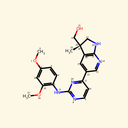 COc1ccc(Nc2nccc(-c3cnc4c(c3)[C@](C)(CO)CN4)n2)c(OC)c1